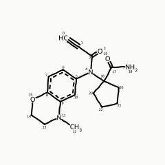 C#CC(=O)N(c1ccc2c(c1)N(C)CCO2)C1(C(N)=O)CCCC1